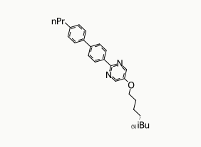 CCCc1ccc(-c2ccc(-c3ncc(OCCCC[C@@H](C)CC)cn3)cc2)cc1